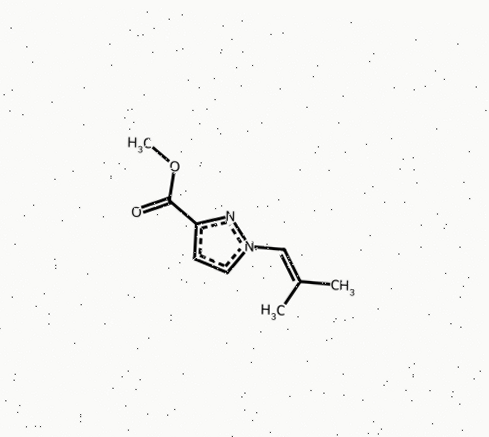 COC(=O)c1ccn(C=C(C)C)n1